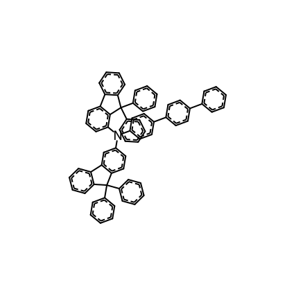 c1ccc(-c2ccc(-c3ccc(N(c4ccc5c(c4)-c4ccccc4C5(c4ccccc4)c4ccccc4)c4cccc5c4C(c4ccccc4)(c4ccccc4)c4ccccc4-5)cc3)cc2)cc1